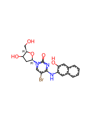 O=c1nc(Nc2cc3ccccc3cc2O)c(Br)cn1[C@H]1CC(O)[C@@H](CO)O1